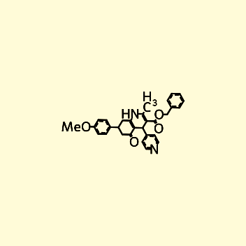 COc1ccc(C2CC(=O)C3=C(C2)NC(C)=C(C(=O)OCc2ccccc2)C3c2ccncc2)cc1